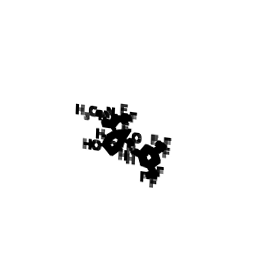 Cn1cc([C@@]23C[C@]2(C(=O)Nc2cc(C(F)(F)F)cc(C(F)(F)F)c2)[C@H]2C[C@H](O)[C@@H]3O2)c(C(F)(F)F)n1